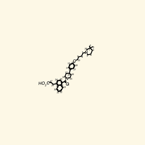 CC1(C)CCCN(CCCCOc2ccc(C3CCN(C(=O)c4ccc(CCC(=O)O)c5ccccc45)CC3)cc2)C1